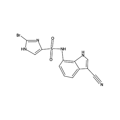 N#Cc1c[nH]c2c(NS(=O)(=O)c3c[nH]c(Br)n3)cccc12